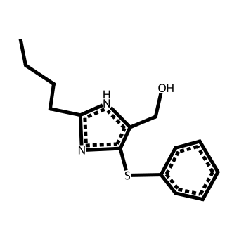 CCCCc1nc(Sc2ccccc2)c(CO)[nH]1